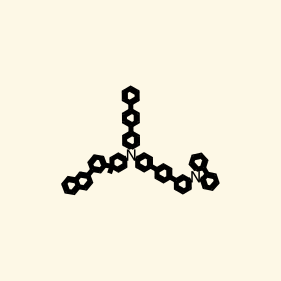 CC1(c2cccc(-c3ccc4ccccc4c3)c2)C=CC(N(c2ccc(-c3ccc(-c4ccccc4)cc3)cc2)c2ccc(-c3ccc(-c4cccc(-n5c6ccccc6c6ccccc65)c4)cc3)cc2)=CC1